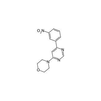 O=[N+]([O-])c1cccc(-c2cc(N3CCOCC3)ncn2)c1